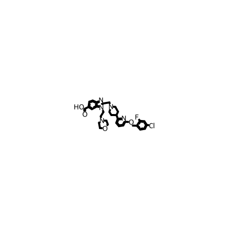 O=C(O)c1ccc2nc(CN3CCC(c4cccc(OCc5ccc(Cl)cc5F)n4)CC3)n(CCN3CCOCC3)c2c1